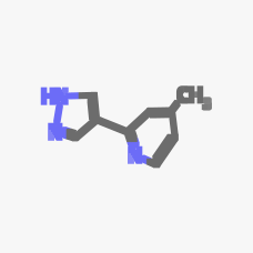 Cc1ccnc(-c2cn[nH]c2)c1